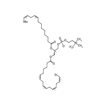 CC/C=C\C/C=C\C/C=C\C/C=C\CCCCC(=O)OC[C@H](COP(=O)([O-])OCC[N+](C)(C)C)OC(=O)CCCCCCC/C=C\C/C=C\CCCC